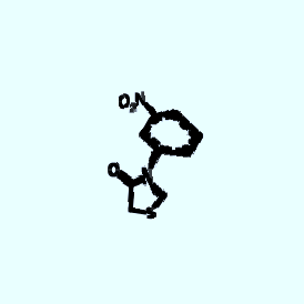 O=C1CSCN1c1cccc([N+](=O)[O-])c1